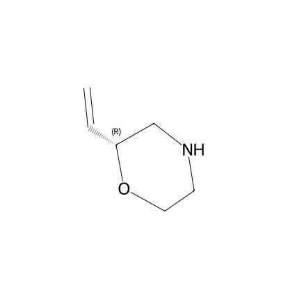 C=C[C@@H]1CNCCO1